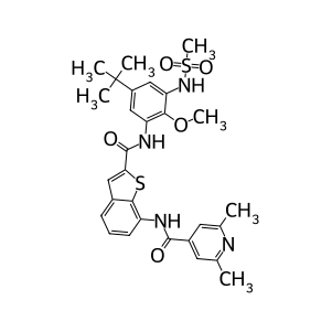 COc1c(NC(=O)c2cc3cccc(NC(=O)c4cc(C)nc(C)c4)c3s2)cc(C(C)(C)C)cc1NS(C)(=O)=O